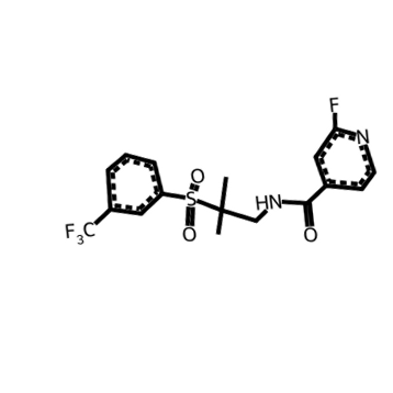 CC(C)(CNC(=O)c1ccnc(F)c1)S(=O)(=O)c1cccc(C(F)(F)F)c1